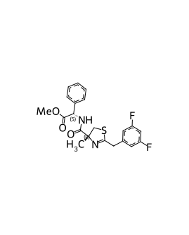 COC(=O)[C@@H](NC(=O)[C@]1(C)CSC(Cc2cc(F)cc(F)c2)=N1)c1ccccc1